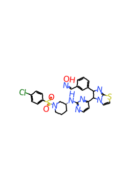 O=S(=O)(c1ccc(Cl)cc1)N1CCC[C@@H](Nc2nccc(C3C(c4cccc(/C=N\O)c4)N=C4SC=CN43)n2)C1